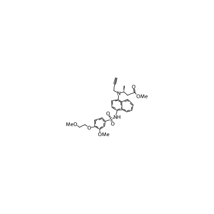 C#CCN(c1ccc(NS(=O)(=O)c2ccc(OCCOC)c(OC)c2)c2ccccc12)[C@@H](C)CC(=O)OC